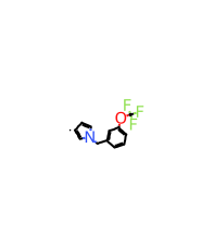 FC(F)(F)Oc1cccc(Cn2c[c]cc2)c1